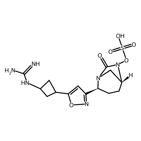 N=C(N)NC1CC(c2cc([C@@H]3CC[C@@H]4CN3C(=O)N4OS(=O)(=O)O)no2)C1